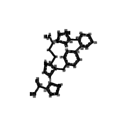 CCCCc1ncc(-c2occc2C(=O)O)n1Cc1ccc(-c2ccccc2-c2nnn[nH]2)cc1